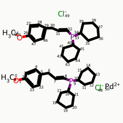 COc1ccc(CC=CP(C2CCCCC2)C2CCCCC2)cc1.COc1ccc(CC=CP(C2CCCCC2)C2CCCCC2)cc1.[Cl-].[Cl-].[Pd+2]